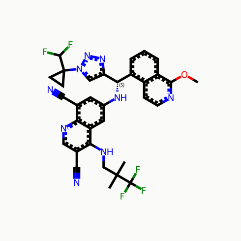 COc1nccc2c([C@H](Nc3cc(C#N)c4ncc(C#N)c(NCC(C)(C)C(F)(F)F)c4c3)c3cn(C4(C(F)F)CC4)nn3)cccc12